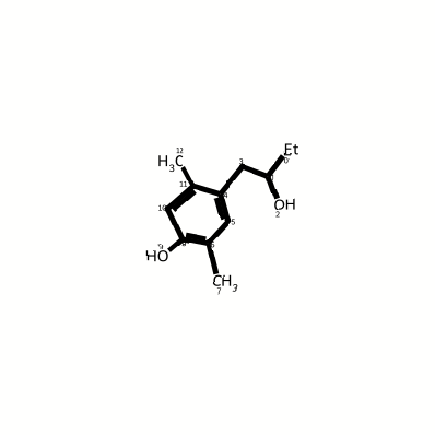 CCC(O)Cc1cc(C)c(O)cc1C